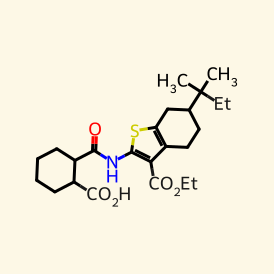 CCOC(=O)c1c(NC(=O)C2CCCCC2C(=O)O)sc2c1CCC(C(C)(C)CC)C2